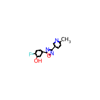 Cc1ccc(-c2noc(-c3ccc(F)c(O)c3)n2)cn1